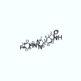 O=C1Cc2cc(-c3cnc(NCc4ccc(F)cc4)nc3)ccc2N1